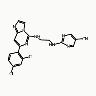 N#Cc1cnc(NCCNc2nc(-c3ccc(Cl)cc3Cl)cc3nccn23)nc1